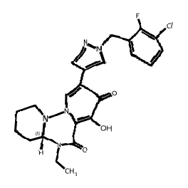 CCN1C(=O)c2c(O)c(=O)c(-c3cnn(Cc4cccc(Cl)c4F)c3)cn2N2CCCC[C@@H]12